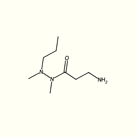 CCCN(C)N(C)C(=O)CCN